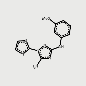 COc1cccc(Nc2nc(N)n(-c3nccs3)n2)c1